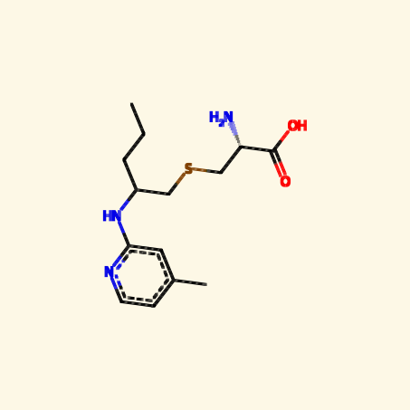 CCCC(CSC[C@H](N)C(=O)O)Nc1cc(C)ccn1